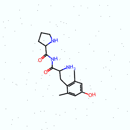 Cc1cc(O)cc(C)c1CC(N)C(=O)NC(=O)C1CCCN1